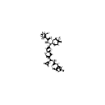 CC(C)c1nonc1C(=O)N[C@H](c1cn2ncc([C@H](NC(=O)CC3C[C@]4(F)C[C@@H]3C4)C3CC3)cc2n1)C1CCC(F)(F)CC1